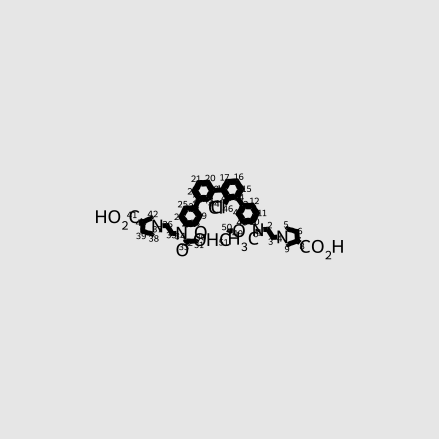 CN(CCN1CCC(C(=O)O)C1)c1ccc(-c2cccc(-c3cccc(-c4ccc5c(c4)OCC(=O)N5CCN4CCC(C(=O)O)C4)c3Cl)c2Cl)cc1OCC=O